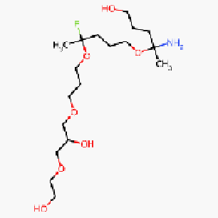 CC(N)(CCCO)OCCCC(C)(F)OCCCOCC(O)COCCO